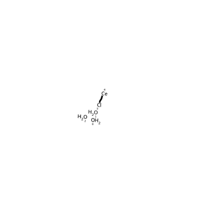 O.O.O.[Cl][Ce]